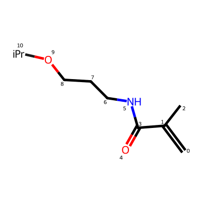 C=C(C)C(=O)NCCCOC(C)C